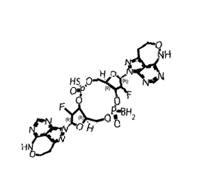 BP1(=O)OC[C@H]2O[C@@H](n3nc4c5c(ncnc53)NOCC4)C(F)C2OP(=O)(S)OC[C@H]2O[C@@H](n3nc4c5c(ncnc53)NOCC4)C(F)C2O1